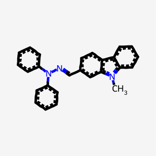 Cn1c2ccccc2c2ccc(C=NN(c3ccccc3)c3ccccc3)cc21